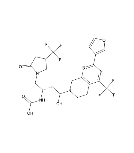 O=C(O)N[C@@H](CC(O)N1CCc2c(nc(-c3ccoc3)nc2C(F)(F)F)C1)CN1CC(C(F)(F)F)CC1=O